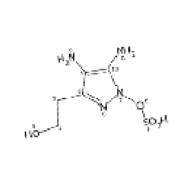 Nc1c(CCO)nn(OS(=O)(=O)O)c1N